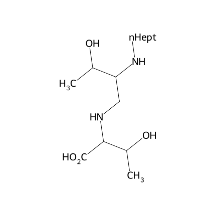 CCCCCCCNC(CNC(C(=O)O)C(C)O)C(C)O